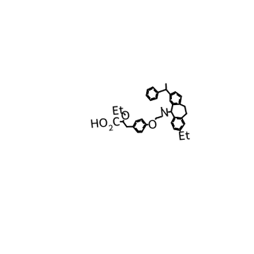 CCOC(Cc1ccc(OCCN(C)C2c3ccc(CC)cc3CCc3ccc(C(C)c4ccccc4)cc32)cc1)C(=O)O